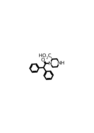 O=C(O)[C@@H]1CNCCN1C(=O)C(c1ccccc1)c1ccccc1